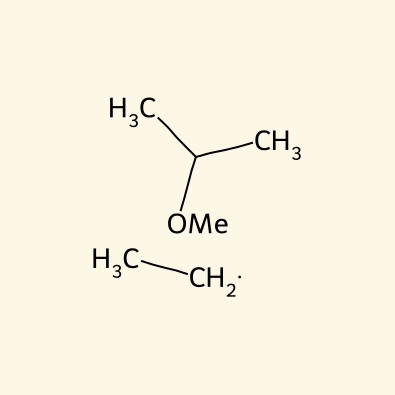 COC(C)C.[CH2]C